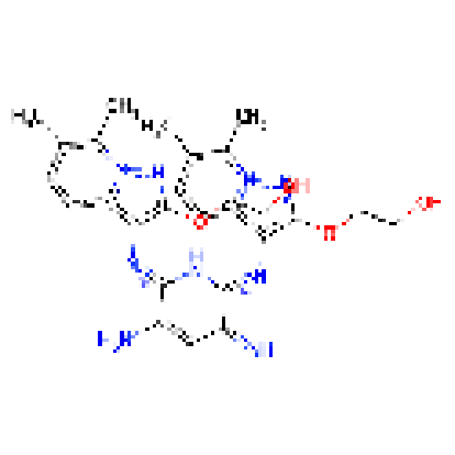 Cc1ccc2c(/N=C3\N/C(=N\c4c(OCCO)nn5c(C)c(C)ccc45)C(N)=CC3=N)c(OCCO)nn2c1C